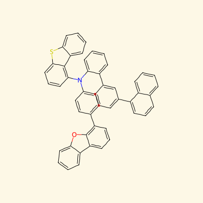 c1cc(-c2ccccc2N(c2ccc(-c3cccc4c3oc3ccccc34)cc2)c2cccc3sc4ccccc4c23)cc(-c2cccc3ccccc23)c1